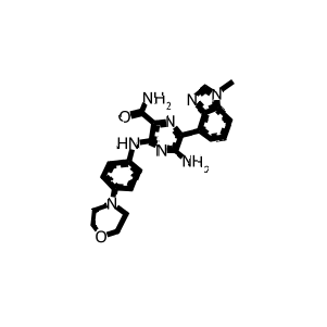 Cn1cnc2c(-c3nc(C(N)=O)c(Nc4ccc(N5CCOCC5)cc4)nc3N)cccc21